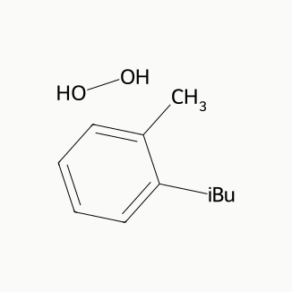 CCC(C)c1ccccc1C.OO